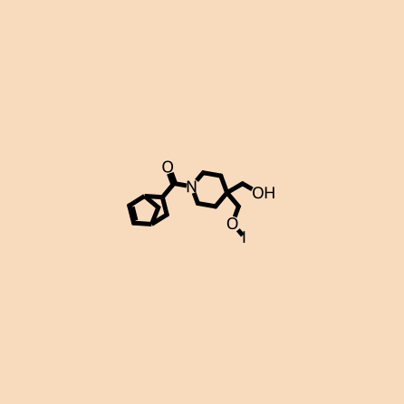 O=C(C1CC2C=CC1C2)N1CCC(CO)(COI)CC1